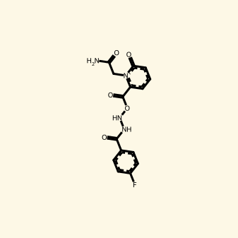 NC(=O)Cn1c(C(=O)ONNC(=O)c2ccc(F)cc2)cccc1=O